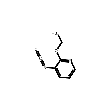 CCOc1ncccc1N=C=O